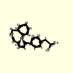 FC(F)Cc1ccc(-c2ccc3n2-c2ccccc2CN=C3)cc1